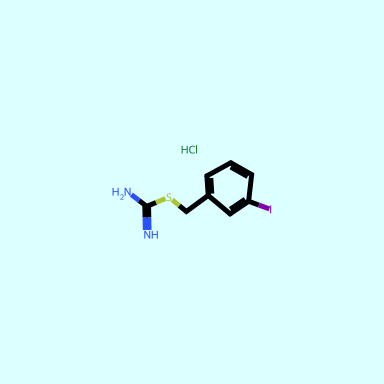 Cl.N=C(N)SCc1cccc(I)c1